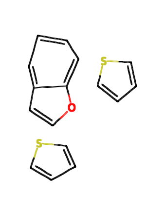 c1ccc2occc2c1.c1ccsc1.c1ccsc1